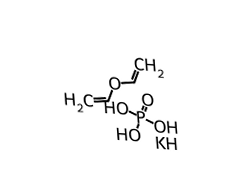 C=COC=C.O=P(O)(O)O.[KH]